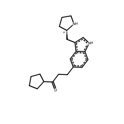 O=C(CCc1ccc2[nH]cc(C[C@H]3CCCN3)c2c1)C1CCCC1